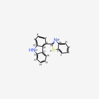 c1ccc2sc(-c3cccc4[nH]c5ccccc5c34)nc2c1